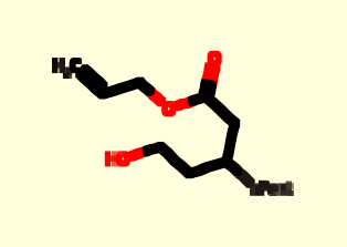 C=CCOC(=O)CC(CCO)CCCCC